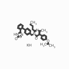 CCCCc1nc(C)c(-c2ccc(OC(C)C)cc2)c(=O)n1Cc1ccc(-c2ccccc2-c2noc(=O)[nH]2)cc1.[KH]